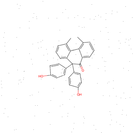 Cc1cccc2c1-c1c(C)cccc1C(c1ccc(O)cc1)(c1ccc(O)cc1)C2=O